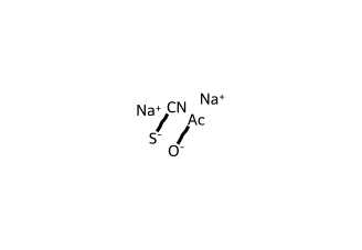 CC(=O)[O-].N#C[S-].[Na+].[Na+]